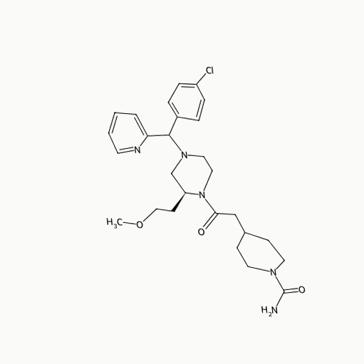 COCC[C@H]1CN(C(c2ccc(Cl)cc2)c2ccccn2)CCN1C(=O)CC1CCN(C(N)=O)CC1